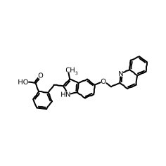 Cc1c(Cc2ccccc2C(=O)O)[nH]c2ccc(OCc3ccc4ccccc4n3)cc12